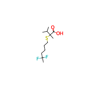 CC(C)C(C)(SCCCCC(C)(F)F)C(=O)O